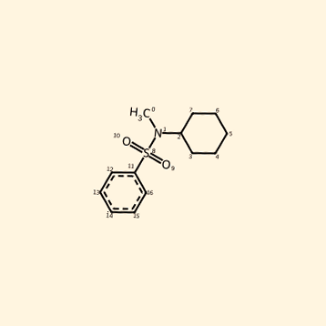 CN(C1CCCCC1)S(=O)(=O)c1cc[c]cc1